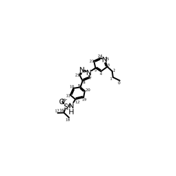 CCCc1cc(-n2cc(-c3ccc(N[S+]([O-])C(C)C)cc3)cn2)ccn1